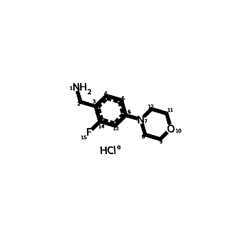 Cl.NCc1ccc(N2CCOCC2)cc1F